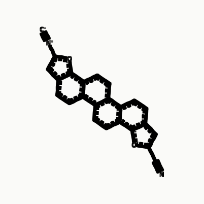 [C-]#[N+]c1cc2ccc3c4ccc5c(ccc6cc(C#N)oc65)c4ccc3c2o1